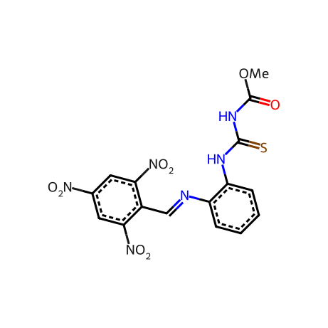 COC(=O)NC(=S)Nc1ccccc1N=Cc1c([N+](=O)[O-])cc([N+](=O)[O-])cc1[N+](=O)[O-]